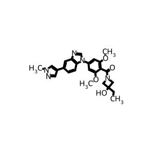 CCC1(O)CN(C(=O)c2c(OC)cc(-n3cnc4cc(-c5cnn(C)c5)ccc43)cc2OC)C1